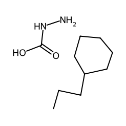 CCCC1CCCCC1.NNC(=O)O